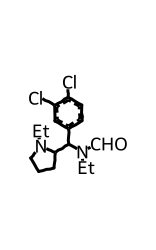 CCN(C=O)C(c1ccc(Cl)c(Cl)c1)C1CCCN1CC